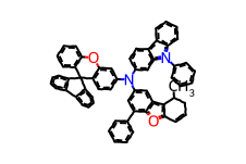 CC1CC=Cc2oc3c(-c4ccccc4)cc(N(c4ccc5c(c4)Oc4ccccc4C54c5ccccc5-c5ccccc54)c4ccc5c6ccccc6n(-c6ccccc6)c5c4)cc3c21